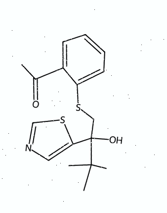 CC(=O)c1ccccc1SCC(O)(c1cncs1)C(C)(C)C